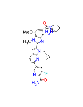 COc1cc(C(=O)N2CC3CCC2[C@@H]3N)cc2nc(-c3cc4ccc(-c5cnc(C(N)=O)c(F)c5)nc4n3CC3CC3)n(C)c12